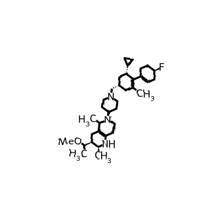 COC(C)[C@H]1CC2=C(CCN(C3CCN(C[C@H]4CC(C)=C(C5=CC[C@H](F)CC5)[C@@H](C5CC5)C4)CC3)C2C)N[C@H]1C